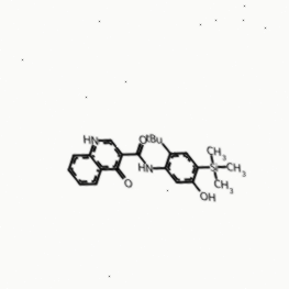 CC(C)(C)c1cc([Si](C)(C)C)c(O)cc1NC(=O)c1c[nH]c2ccccc2c1=O